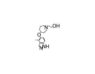 Cc1c(OC2CCCN(CCO)CC2)ccc2[nH]ncc12